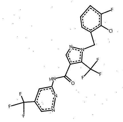 O=C(Nc1cc(C(F)(F)F)cnn1)c1cnn(Cc2cccc(F)c2Cl)c1C(F)(F)F